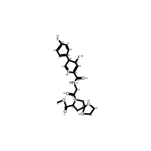 COC(=O)C1CC2(CN1C(=O)CNC(=O)C1=CC(F)C(c3ccc(F)cc3)C=N1)OCCO2